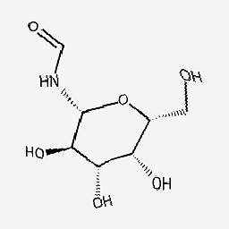 O=CN[C@@H]1O[C@H](CO)[C@H](O)[C@H](O)[C@H]1O